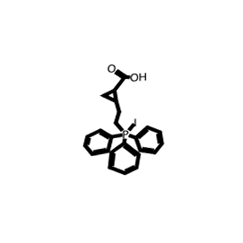 O=C(O)C1CC1CCP(I)(c1ccccc1)(c1ccccc1)c1ccccc1